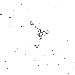 O=C(OCCCCC1CO1)C1CC2OC2CC1C(=O)OCCCCC1CO1